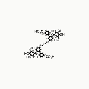 O=C(O)Cc1cccc(-c2cc(CCCCCCc3ccc(OC4O[C@H](CO)C(O)[C@H](O)[C@@H]4O)c(-c4cccc(CC(=O)O)c4)c3)ccc2OC2O[C@H](CO)C(O)[C@H](O)[C@@H]2O)c1